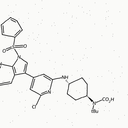 CC(C)(C)N(C(=O)O)[C@H]1CC[C@H](Nc2cc(-c3cn(S(=O)(=O)c4ccccc4)c4ncc(O)cc34)cc(Cl)n2)CC1